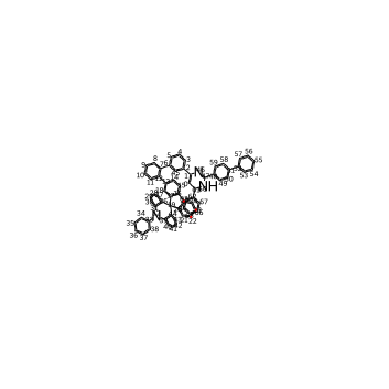 C1=C(c2cccc(-c3ccccc3-c3ccc4c(c3)C3(c5ccccc5-4)c4ccccc4N(c4ccccc4)c4ccccc43)c2)N=C(c2ccc(-c3ccccc3)cc2)NC1c1ccccc1